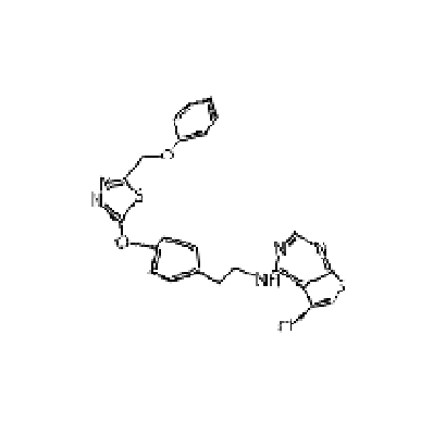 Clc1csc2ncnc(NCCc3ccc(Oc4nnc(COc5ccccc5)s4)cc3)c12